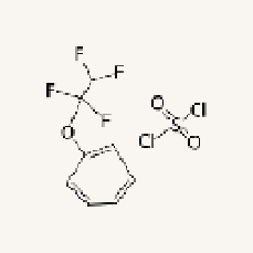 FC(F)C(F)(F)Oc1ccccc1.O=S(=O)(Cl)Cl